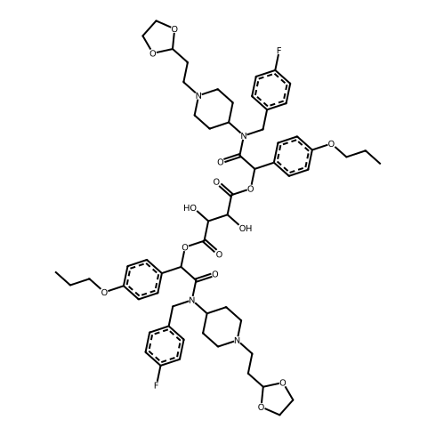 CCCOc1ccc(C(OC(=O)C(O)C(O)C(=O)OC(C(=O)N(Cc2ccc(F)cc2)C2CCN(CCC3OCCO3)CC2)c2ccc(OCCC)cc2)C(=O)N(Cc2ccc(F)cc2)C2CCN(CCC3OCCO3)CC2)cc1